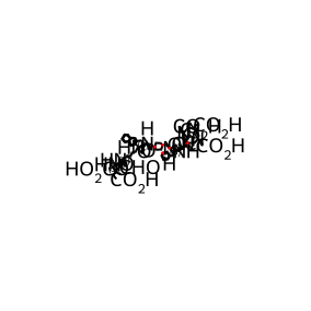 O=CO[C@H](CCCCNC(=O)[C@H](Cc1ccc2ccccc2c1)NC(=O)[C@H]1CC[C@H](CNC(=O)[C@H](Cc2ccccc2)NC(=O)CN2CCN(CC(=O)O)CCN(CC(=O)O)CCN(CC(=O)O)CC2)CC1)NC(=O)N[C@@H](CCC(=O)O)C(=O)O